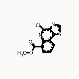 COC(=O)c1cccc2c1nc(Cl)c1ncsc12